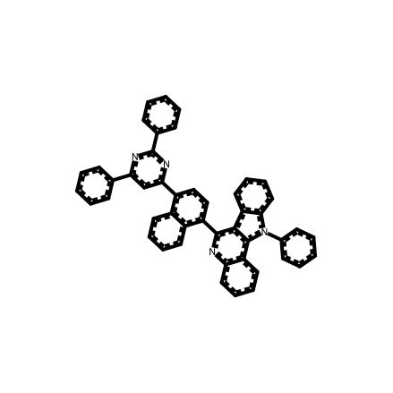 c1ccc(-c2cc(-c3ccc(-c4nc5ccccc5c5c4c4ccccc4n5-c4ccccc4)c4ccccc34)nc(-c3ccccc3)n2)cc1